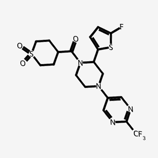 O=C(C1CCS(=O)(=O)CC1)N1CCN(c2cnc(C(F)(F)F)nc2)CC1c1ccc(F)s1